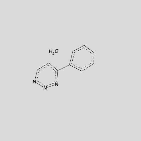 O.c1ccc(-c2ccnnn2)cc1